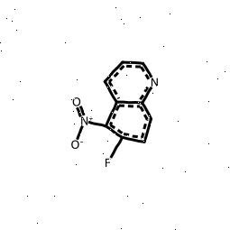 O=[N+]([O-])c1c(F)ccc2ncccc12